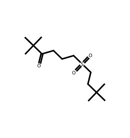 CC(C)(C)CCS(=O)(=O)CCCC(=O)C(C)(C)C